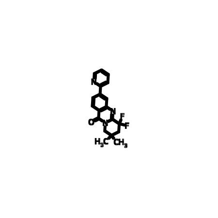 CC1(C)Cn2c(nc3cc(-c4ccccn4)ccc3c2=O)C(F)(F)C1